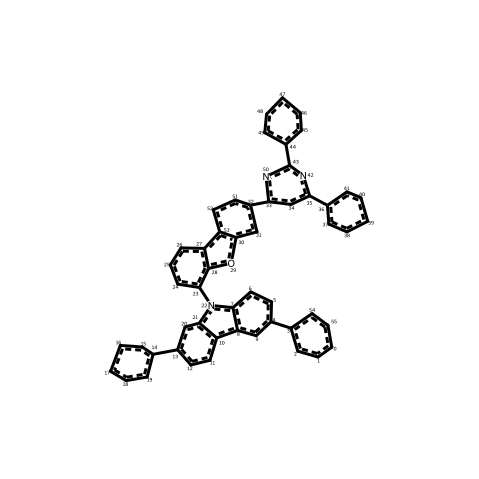 c1ccc(-c2ccc3c(c2)c2ccc(-c4ccccc4)cc2n3-c2cccc3c2oc2cc(-c4cc(-c5ccccc5)nc(-c5ccccc5)n4)ccc23)cc1